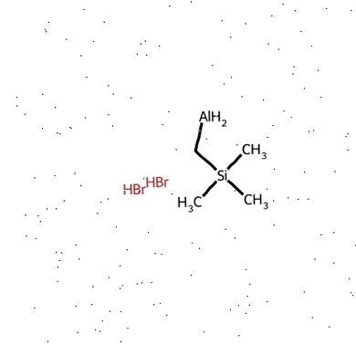 Br.Br.C[Si](C)(C)[CH2][AlH2]